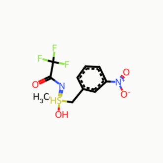 C[SH](O)(Cc1cccc([N+](=O)[O-])c1)=NC(=O)C(F)(F)F